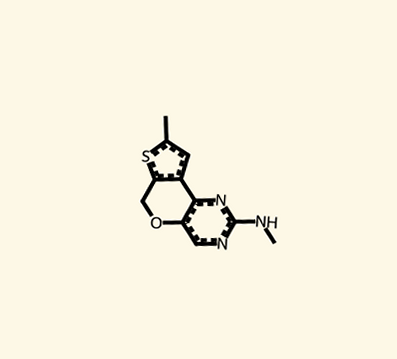 CNc1ncc2c(n1)-c1cc(C)sc1CO2